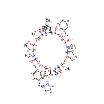 CC(C)=C[C@H]1C(=O)O[C@H](Cc2ccccc2)C(=O)N(C)[C@@H](CC(C)C)C(=O)O[C@H](C)C(=O)N(C)[C@@H](CC(C)C)C(=O)O[C@H](Cc2ccc(Cn3cccn3)cc2)C(=O)N(C)[C@@H](CC(C)C)C(=O)O[C@H](C)C(=O)N1C